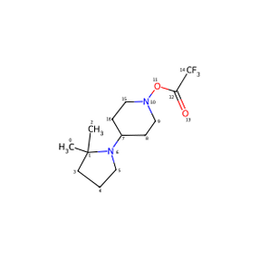 CC1(C)CCCN1C1CCN(OC(=O)C(F)(F)F)CC1